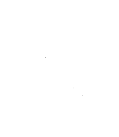 COn1[c]c(C)c2c(C(C)N3CCCC3)cccc21